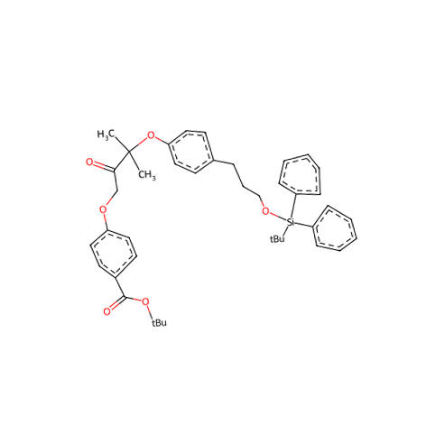 CC(C)(C)OC(=O)c1ccc(OCC(=O)C(C)(C)Oc2ccc(CCCO[Si](c3ccccc3)(c3ccccc3)C(C)(C)C)cc2)cc1